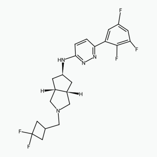 Fc1cc(F)c(F)c(-c2ccc(N[C@H]3C[C@@H]4CN(CC5CC(F)(F)C5)C[C@@H]4C3)nn2)c1